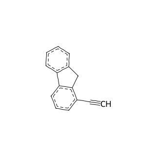 C#Cc1cccc2c1Cc1ccccc1-2